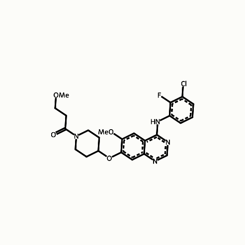 COCCC(=O)N1CCC(Oc2cc3ncnc(Nc4cccc(Cl)c4F)c3cc2OC)CC1